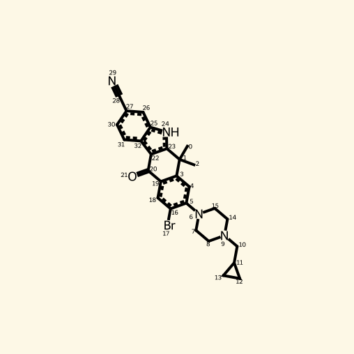 CC1(C)c2cc(N3CCN(CC4CC4)CC3)c(Br)cc2C(=O)c2c1[nH]c1cc(C#N)ccc21